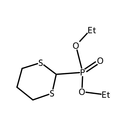 CCOP(=O)(OCC)C1SCCCS1